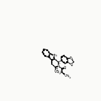 C=CC(=O)N1[C@H](c2ccc3c(c2)OCO3)c2[nH]c3ccccc3c2C[C@@H]1C(=O)O